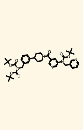 CC(C)(C)OC(=O)N(Cc1cccc(C2CCN(C(=O)c3cncc(N(Cc4cccnc4)C(=O)OC(C)(C)C)c3)CC2)c1)C(=O)OC(C)(C)C